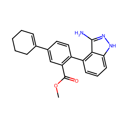 COC(=O)c1cc(C2=CCCCC2)ccc1-c1cccc2[nH]nc(N)c12